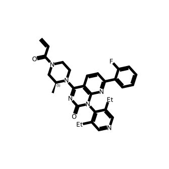 C=CC(=O)N1CCN(c2nc(=O)n(-c3c(CC)cncc3CC)c3nc(-c4ccccc4F)ccc23)[C@@H](C)C1